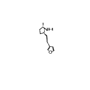 C[C@@H]1CC[C@H](CCc2ccoc2)N1